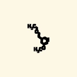 CCOC=Cc1cncc(OC)c1